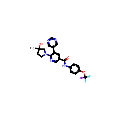 CC1(O)CCN(c2ncc(C(=O)Nc3ccc(OC(F)(F)I)cc3)cc2-c2cncnc2)C1